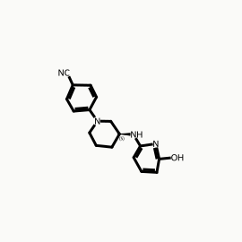 N#Cc1ccc(N2CCC[C@H](Nc3cccc(O)n3)C2)cc1